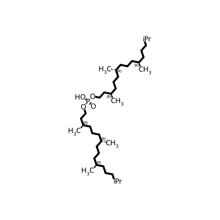 CC(C)CCC[C@@H](C)CCC[C@@H](C)CCC[C@@H](C)CCOP(=O)(O)OCC[C@H](C)CCC[C@H](C)CCC[C@H](C)CCCC(C)C